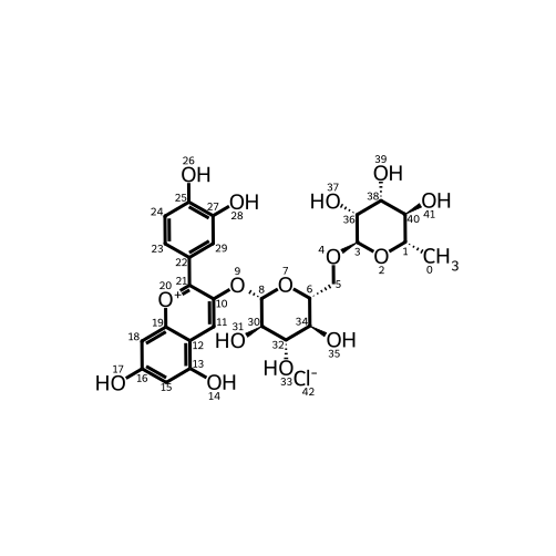 C[C@@H]1O[C@@H](OC[C@H]2O[C@@H](Oc3cc4c(O)cc(O)cc4[o+]c3-c3ccc(O)c(O)c3)[C@H](O)[C@@H](O)[C@@H]2O)[C@H](O)[C@H](O)[C@H]1O.[Cl-]